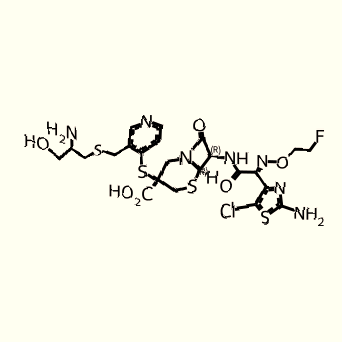 Nc1nc(C(=NOCCF)C(=O)N[C@@H]2C(=O)N3CC(Sc4ccncc4CSCC(N)CO)(C(=O)O)CS[C@H]23)c(Cl)s1